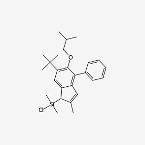 CC1=Cc2c(cc(C(C)(C)C)c(OCC(C)C)c2-c2ccccc2)C1[Si](C)(C)Cl